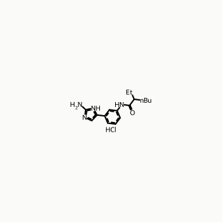 CCCCC(CC)C(=O)Nc1cccc(-c2cnc(N)[nH]2)c1.Cl